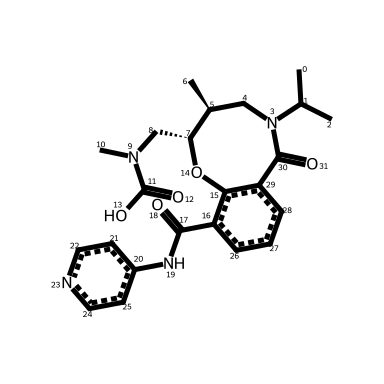 CC(C)N1C[C@H](C)[C@@H](CN(C)C(=O)O)Oc2c(C(=O)Nc3ccncc3)cccc2C1=O